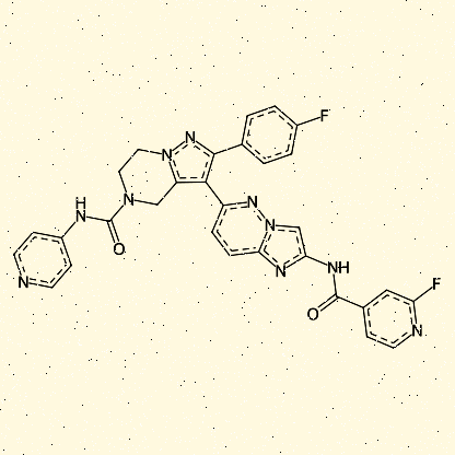 O=C(Nc1cn2nc(-c3c(-c4ccc(F)cc4)nn4c3CN(C(=O)Nc3ccncc3)CC4)ccc2n1)c1ccnc(F)c1